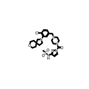 CS(=O)(=O)Nc1ccn(C(=O)N2CCN(Cc3ccc(Cl)c(N4CCC5(CCOCC5)C4)c3)CC2)n1